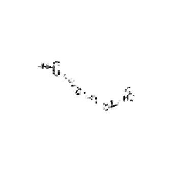 CNC(=O)OCCOCCOCCOCCOC(C)(C)CCN1CCCC1=O